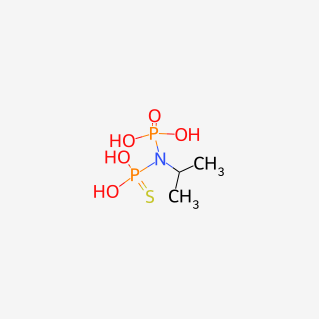 CC(C)N(P(=O)(O)O)P(O)(O)=S